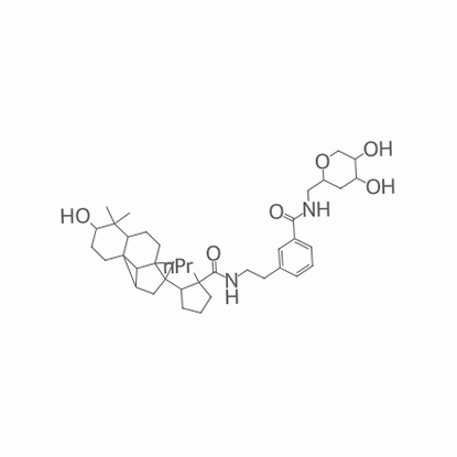 CCCC1(C(=O)NCCc2cccc(C(=O)NCC3CC(O)C(O)CO3)c2)CCCC1C12CC3C4C35CCC(O)C(C)(C)C5CCC41C2